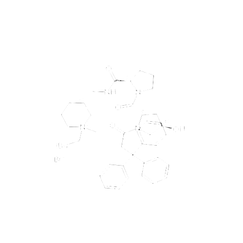 CCC(C)C[N+]1(C)CCC[C@H](CNC(=O)[C@H]2CCCN2C(=O)[C@@H]2C[C@@H](O)CN2C(=O)CC(c2ccccc2)(c2ccccc2)c2ccccc2)C1.[Br-]